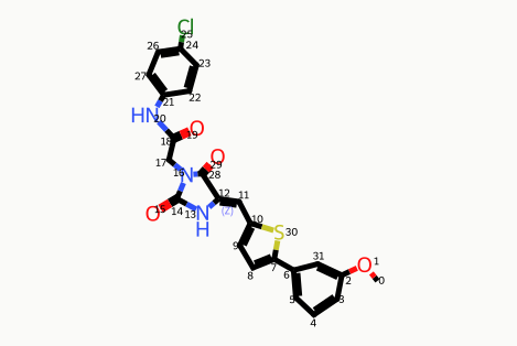 COc1cccc(-c2ccc(/C=C3\NC(=O)N(CC(=O)Nc4ccc(Cl)cc4)C3=O)s2)c1